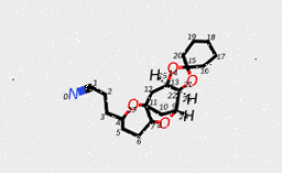 N#CCCC1CCC2O[C@@H]3CC2(C[C@H]2OC4(CCCCC4)O[C@@H]32)O1